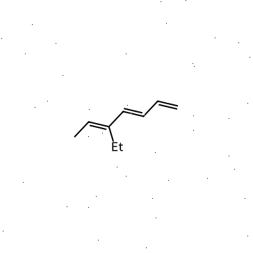 C=C/C=C/C(=C/C)CC